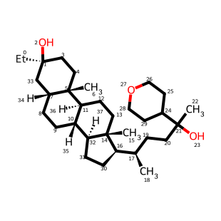 CC[C@]1(O)CC[C@@]2(C)[C@H](CC[C@@H]3[C@@H]2CC[C@]2(C)[C@@H]([C@H](C)CCC(C)(O)C4CCOCC4)CC[C@@H]32)C1